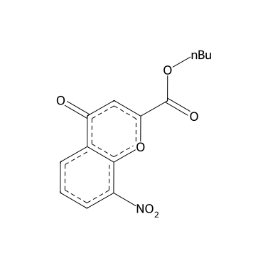 CCCCOC(=O)c1cc(=O)c2cccc([N+](=O)[O-])c2o1